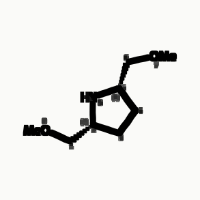 COC[C@H]1CC[C@@H](COC)N1